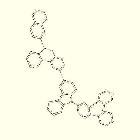 c1ccc2c(c1)-c1cc(-c3ccc4c(c3)c3ccccc3n4-c3ccc4c5ccccc5c5ccccc5c4c3)ccc1CC2c1ccc2ccccc2c1